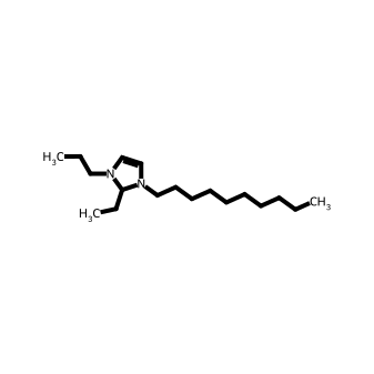 CCCCCCCCCCN1C=CN(CCC)C1CC